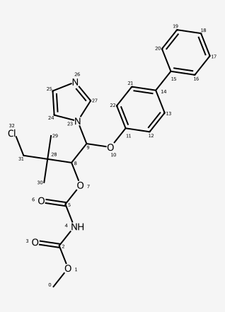 COC(=O)NC(=O)OC(C(Oc1ccc(-c2ccccc2)cc1)n1ccnc1)C(C)(C)CCl